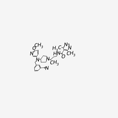 COc1ccc(N(Cc2cccc(C#N)c2)C2CCN(C(C)CCNC(=O)c3c(C)ncnc3C)CC2)cn1